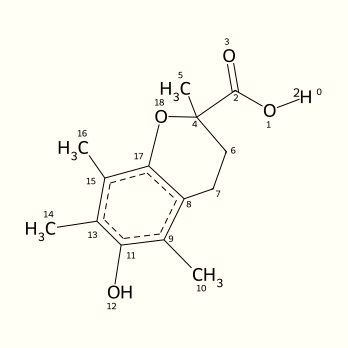 [2H]OC(=O)C1(C)CCc2c(C)c(O)c(C)c(C)c2O1